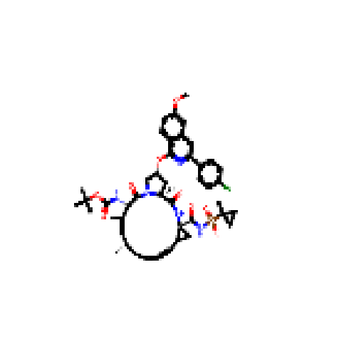 COc1ccc2c(O[C@@H]3C[C@H]4C(=O)N[C@]5(C(=O)NS(=O)(=O)C6(C)CC6)CC5/C=C\CC[C@H](C)C[C@@H](C)[C@H](NC(=O)OC(C)(C)C)C(=O)N4C3)nc(-c3ccc(F)cc3)cc2c1